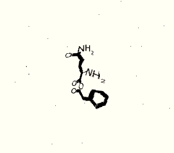 NC(=O)CC[C@H](N)C(=O)OC(=O)Cc1ccccc1